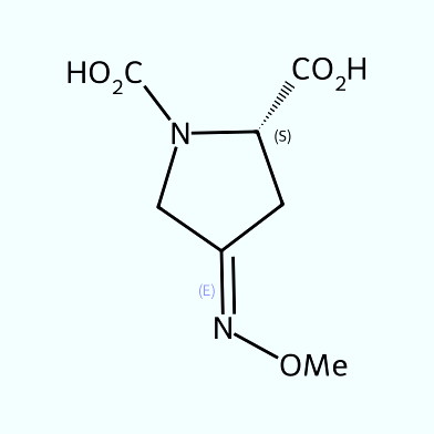 CO/N=C1\C[C@@H](C(=O)O)N(C(=O)O)C1